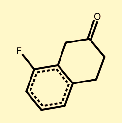 O=C1CCc2cccc(F)c2C1